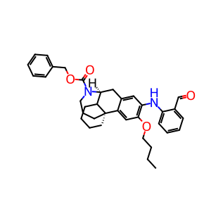 CCCCOc1cc2c(cc1Nc1ccccc1C=O)C[C@H]1C3CCCC[C@@]23CCCN1C(=O)OCc1ccccc1